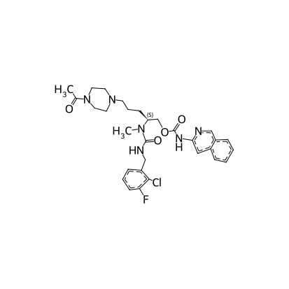 CC(=O)N1CCN(CCC[C@@H](COC(=O)Nc2cc3ccccc3cn2)N(C)C(=O)NCc2cccc(F)c2Cl)CC1